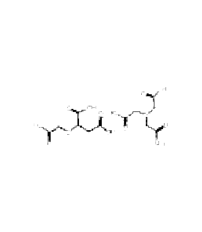 O=C(O)CN(CC(=O)O)CC(=O)O.O=C(O)COC(CC(=O)O)C(=O)O